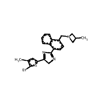 CCc1sc(C2=NC(c3ccc(CN4CC(C)C4)c4ccccc34)=NC2)cc1C